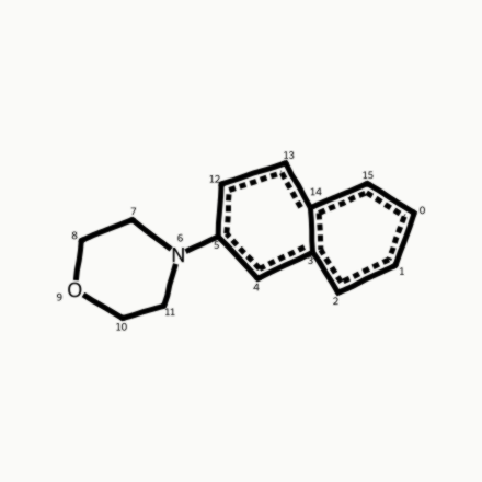 c1ccc2cc(N3CCOCC3)ccc2c1